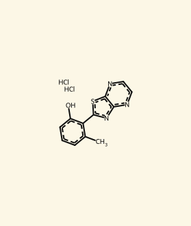 Cc1cccc(O)c1-c1nc2nccnc2s1.Cl.Cl